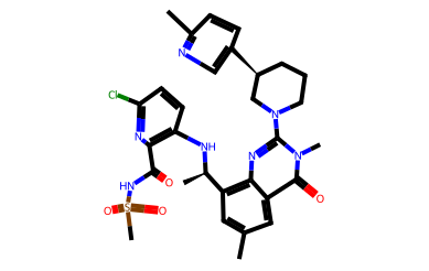 Cc1cc([C@@H](C)Nc2ccc(Cl)nc2C(=O)NS(C)(=O)=O)c2nc(N3CCC[C@H](c4ccc(C)nc4)C3)n(C)c(=O)c2c1